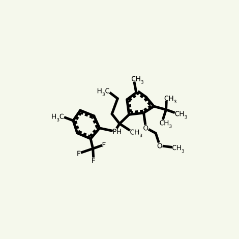 CCCC(C)(Pc1ccc(C)cc1C(F)(F)F)c1cc(C)cc(C(C)(C)C)c1OCOC